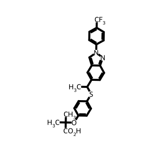 CC(Sc1ccc(OC(C)(C)C(=O)O)cc1)c1ccc2nn(-c3ccc(C(F)(F)F)cc3)cc2c1